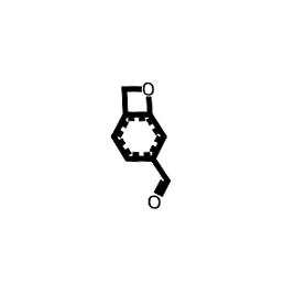 O=Cc1ccc2c(c1)OC2